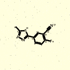 Cc1nnc(-c2ccc(F)c(C#N)c2)s1